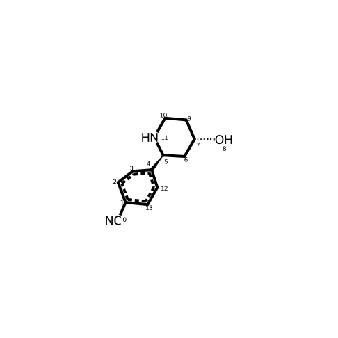 N#Cc1ccc([C@@H]2C[C@@H](O)CCN2)cc1